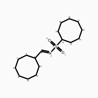 O=S(=O)(/N=C/C1CCCCCCC1)C1CCCCCCC1